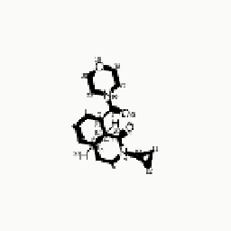 O=C([C@@H]1CC=C[C@@H]2CCN(C3CC3)C(=O)[C@@H]21)N1CCOCC1